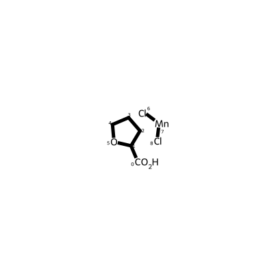 O=C(O)C1CCCO1.[Cl][Mn][Cl]